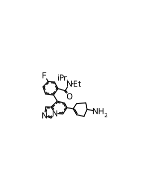 CCN(C(=O)c1cc(F)ccc1-c1cc(C2=CCC(N)CC2)cn2cncc12)C(C)C